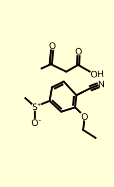 CC(=O)CC(=O)O.CCOc1cc([S+](C)[O-])ccc1C#N